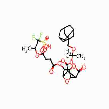 CC(OC(=O)CCC(=O)OC1C2OC(=O)C3C2OC1C3C(=O)OC(C)(C)OCC12CC3CC(CC(C3)C1)C2)C(F)(F)S(=O)(=O)O